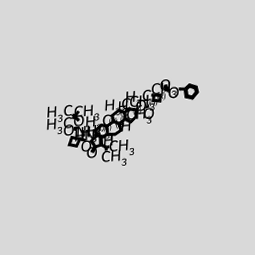 CC(C)C1=C2[C@H]3CC[C@@H]4[C@@]5(C)CC[C@H](OC(=O)[C@H]6C[C@@H](C(=O)OCc7ccccc7)C6(C)C)C(C)(C)[C@@H]5CC[C@@]4(C)[C@]3(C)CC[C@@]2(NC(=O)C2(NC(=O)OC(C)(C)C)CCC2)CC1=O